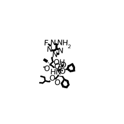 C#C[C@](COP(=O)(N[C@@H](Cc1ccccc1)C(=O)OCC(CC)CC)Oc1ccccc1)(OC)[C@@H](O)Cn1cnc2c(N)nc(F)nc21